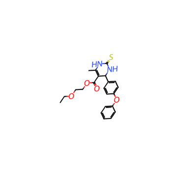 CCOCCOC(=O)C1=C(C)NC(=S)NC1c1ccc(Oc2ccccc2)cc1